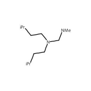 CNCN(CCC(C)C)CCC(C)C